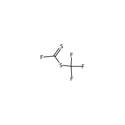 FC(=S)SC(F)(F)F